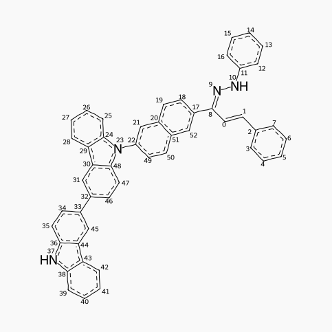 C(=C\c1ccccc1)/C(=N\Nc1ccccc1)c1ccc2cc(-n3c4ccccc4c4cc(-c5ccc6[nH]c7ccccc7c6c5)ccc43)ccc2c1